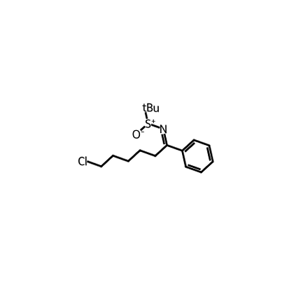 CC(C)(C)[S+]([O-])/N=C(\CCCCCCl)c1ccccc1